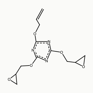 C=CCOc1nc(OCC2CO2)nc(OCC2CO2)n1